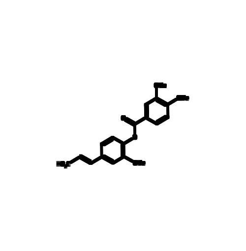 COc1ccc(C(=O)Oc2ccc(C=CC(=O)O)cc2OC)cc1OC